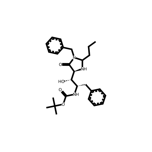 CCCC1N[C@@H]([C@@H](O)[C@H](Cc2ccccc2)NC(=O)OC(C)(C)C)C(=O)N1Cc1ccccc1